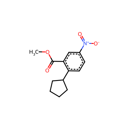 COC(=O)c1cc([N+](=O)[O-])ccc1C1CCCC1